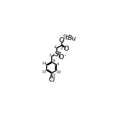 CC(C)(C)OC(=O)C[S@+]([O-])Cc1ccc(Cl)cc1